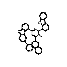 CN1C(c2ccc3ccccc3c2)=NC(c2cccc3oc4ccc(-c5ccccc5)cc4c23)=NC1c1cccc2c1oc1ccccc12